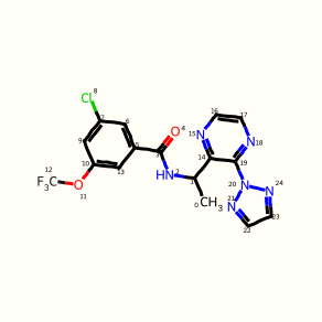 CC(NC(=O)c1cc(Cl)cc(OC(F)(F)F)c1)c1nccnc1-n1nccn1